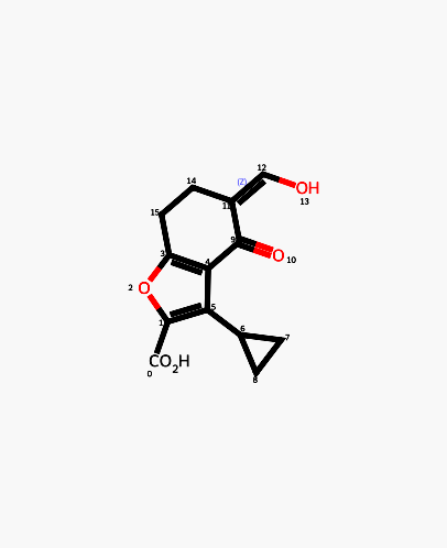 O=C(O)c1oc2c(c1C1CC1)C(=O)/C(=C\O)CC2